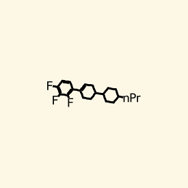 CCCC1CCC(C2CC=C(c3ccc(F)c(F)c3F)CC2)CC1